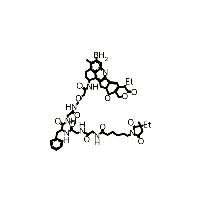 Bc1cc2nc3c(c4c2c(c1C)CCC4NC(=O)COCNC(=O)CNC(=O)C(Cc1ccccc1)NC(=O)CNC(=O)CNC(=O)CCCCCN1C(=O)CC(C)(CC)C1=O)CC1C(=O)C2=C(C=C31)C(CC)C(=O)OC2